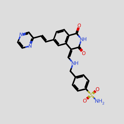 NS(=O)(=O)c1ccc(CN/C=C2\C(=O)NC(=O)c3ccc(/C=C/c4cnccn4)cc32)cc1